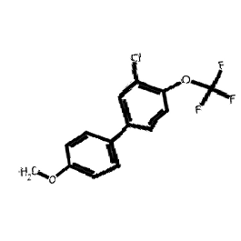 [CH2]Oc1ccc(-c2ccc(OC(F)(F)F)c(Cl)c2)cc1